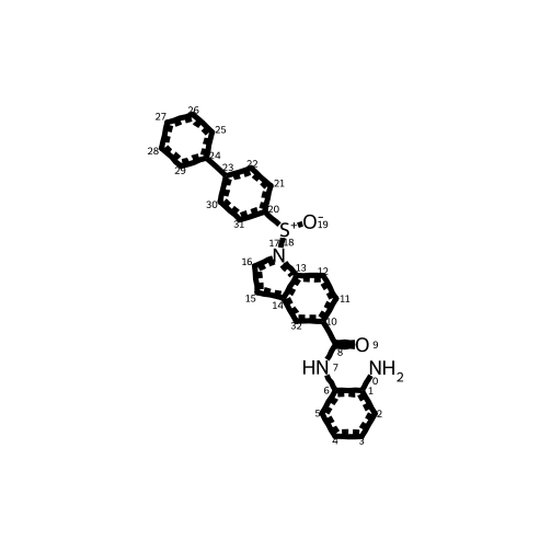 Nc1ccccc1NC(=O)c1ccc2c(ccn2[S+]([O-])c2ccc(-c3ccccc3)cc2)c1